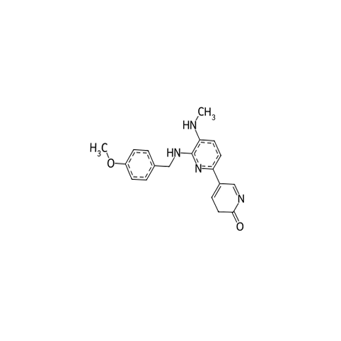 CNc1ccc(C2=CCC(=O)N=C2)nc1NCc1ccc(OC)cc1